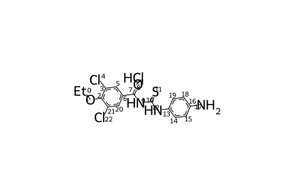 CCOc1c(Cl)cc(C(=O)NC(=S)Nc2ccc(N)cc2)cc1Cl.Cl